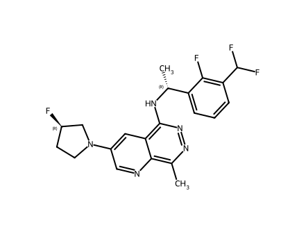 Cc1nnc(N[C@H](C)c2cccc(C(F)F)c2F)c2cc(N3CC[C@@H](F)C3)cnc12